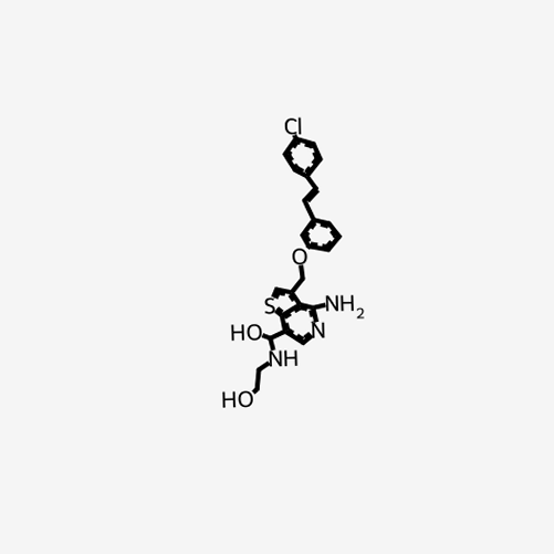 Nc1ncc(C(O)NCCO)c2scc(COc3cccc(/C=C/c4ccc(Cl)cc4)c3)c12